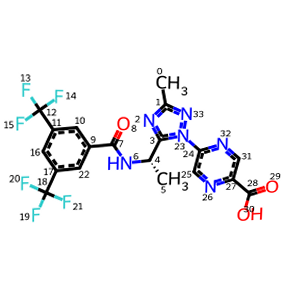 Cc1nc([C@H](C)NC(=O)c2cc(C(F)(F)F)cc(C(F)(F)F)c2)n(-c2cnc(C(=O)O)cn2)n1